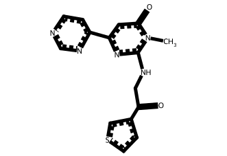 Cn1c(NCC(=O)c2ccsc2)nc(-c2ccncn2)cc1=O